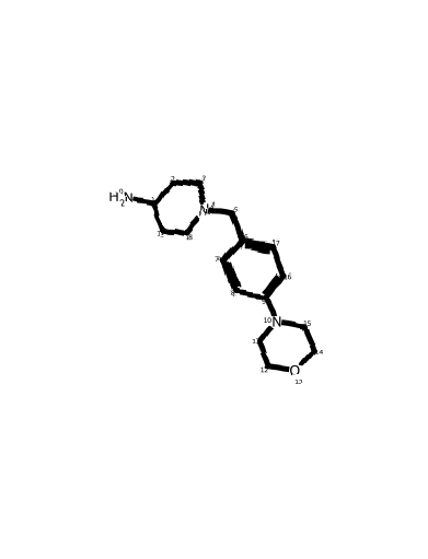 NC1CCN(Cc2ccc(N3CCOCC3)cc2)CC1